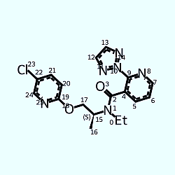 CCN(C(=O)c1cccnc1-n1nccn1)[C@@H](C)COc1ccc(Cl)cn1